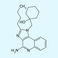 CCCCc1nc2c(N)nc3ccccc3c2n1CC1(O)CCCCC1